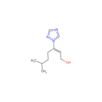 CC(C)CCC(=CCO)n1cncn1